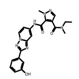 CCN(C)C(=O)c1cnn(C)c1C(=O)Nc1ccn2nc(-c3cccc(O)c3)nc2c1